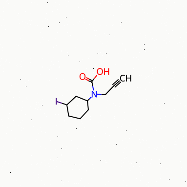 C#CCN(C(=O)O)C1CCCC(I)C1